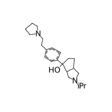 CC(C)N1CC2CCC(O)(c3ccc(CCN4CCCC4)cc3)C2C1